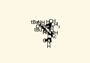 CC(=O)C(=N)[C@H](C[C@@H]1CCNC1=O)NC(=O)[C@@H]1[C@@H]2[C@H](CN1C(=O)[C@@H](NC(=O)NC(C)(C)C)C(C)(C)C)C2(C)C